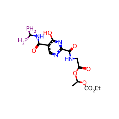 CCOC(=O)OC(C)OC(=O)CNC(=O)c1ncc(C(=O)NC(P)P)c(O)n1